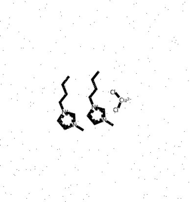 CCCC[n+]1ccn(C)c1.CCCC[n+]1ccn(C)c1.[Cl][Cu-2][Cl]